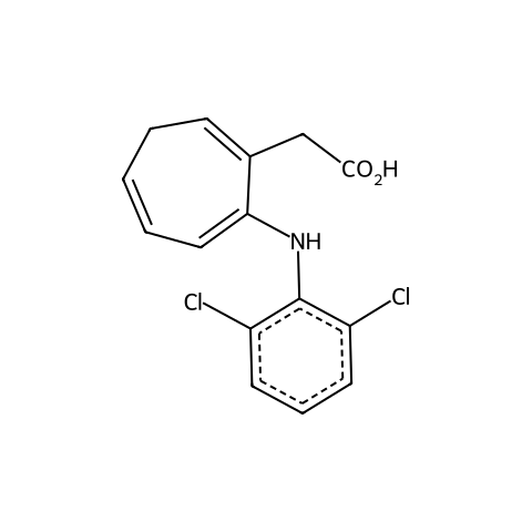 O=C(O)CC1=CCC=CC=C1Nc1c(Cl)cccc1Cl